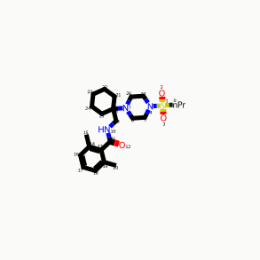 CCCS(=O)(=O)N1CCN(C2(CNC(=O)c3c(C)cccc3C)CCCCC2)CC1